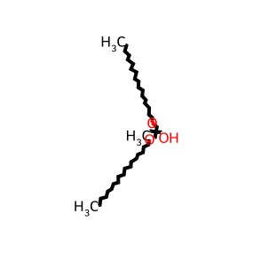 CCCCCCCCCCCCCCCCCCOCC(CC)(CO)COCCCCCCCCCCCCCCCCCC